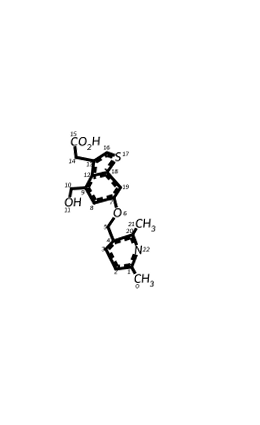 Cc1ccc(COc2cc(CO)c3c(CC(=O)O)csc3c2)c(C)n1